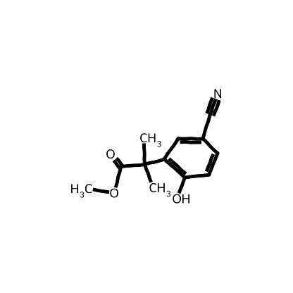 COC(=O)C(C)(C)c1cc(C#N)ccc1O